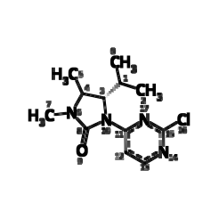 CC(C)[C@H]1C(C)N(C)C(=O)N1c1ccnc(Cl)n1